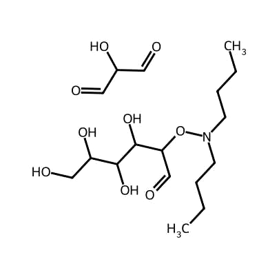 CCCCN(CCCC)OC(C=O)C(O)C(O)C(O)CO.O=CC(O)C=O